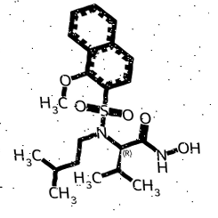 COc1c(S(=O)(=O)N(CCC(C)C)[C@@H](C(=O)NO)C(C)C)ccc2ccccc12